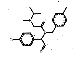 Cc1ccc(CN(C(=O)CN(C)C(C)C)C(C=O)c2ccc(Cl)cc2)cc1